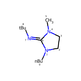 CCCCN1CCN(C)C1=NC(C)(C)C